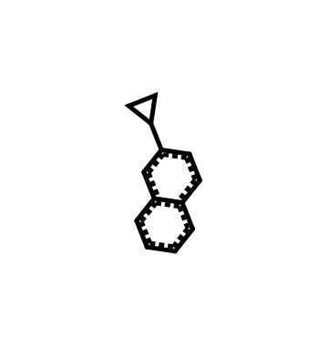 c1ccc2cc(C3CC3)ccc2c1